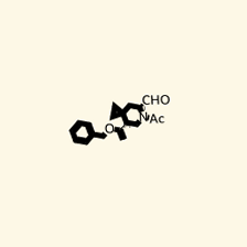 C=C(OCc1ccccc1)[C@H]1CN(C(C)=O)[C@H](C=O)CC12CC2